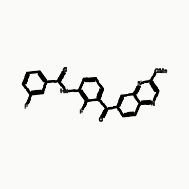 COc1cnc2ccc(C(=O)c3cccc(NC(=O)c4cccc(F)c4)c3F)cc2n1